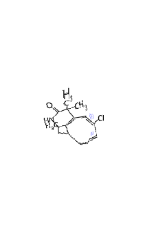 CC12CC3C/C=C/C(Cl)=C\C(=C31)C(C)(C)C(=O)N2